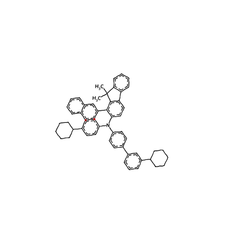 CC1(C)c2ccccc2-c2ccc(N(c3ccc(-c4cccc(C5CCCCC5)c4)cc3)c3ccc(C4CCCCC4)cc3)c(-c3ccc4ccccc4c3)c21